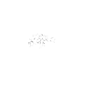 Cc1c(NC(=N)NCc2ccccc2)c(C(=O)O)c(C)n1Cc1ccncc1